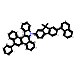 CC1(C)c2cc(-c3cccc4ccccc34)ccc2-c2ccc(-n3c4ccccc4c4c5c6ccccc6c(-c6ccccc6)cc5c5ccccc5c43)cc21